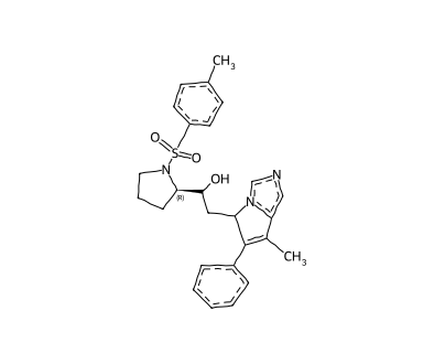 CC1=C(c2ccccc2)C(CC(O)[C@H]2CCCN2S(=O)(=O)c2ccc(C)cc2)n2cncc21